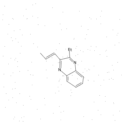 C/C=C/c1nc2ccccc2nc1CC